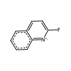 FC1=CC=c2ccccc2=[N+]1